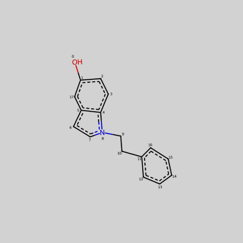 Oc1ccc2c(ccn2CCc2ccccc2)c1